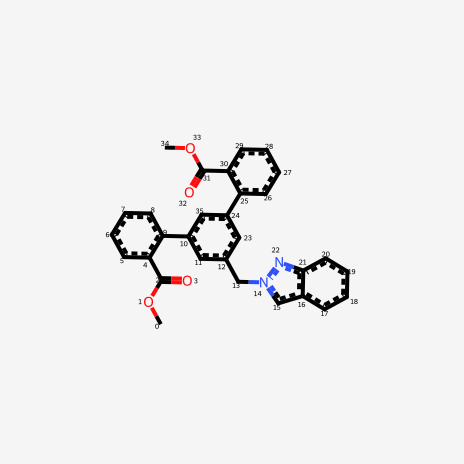 COC(=O)c1ccccc1-c1cc(Cn2cc3ccccc3n2)cc(-c2ccccc2C(=O)OC)c1